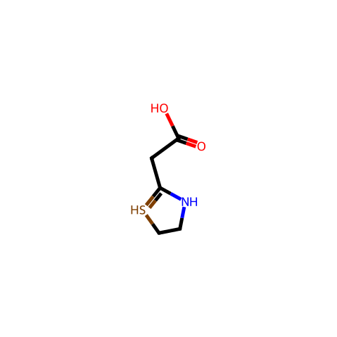 O=C(O)CC1=[SH]CCN1